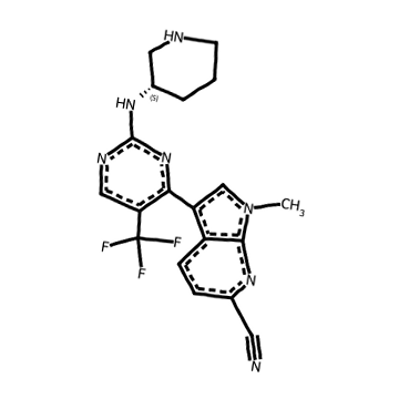 Cn1cc(-c2nc(N[C@H]3CCCNC3)ncc2C(F)(F)F)c2ccc(C#N)nc21